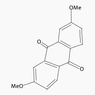 COc1ccc2c(c1)C(=O)c1cc(OC)ccc1C2=O